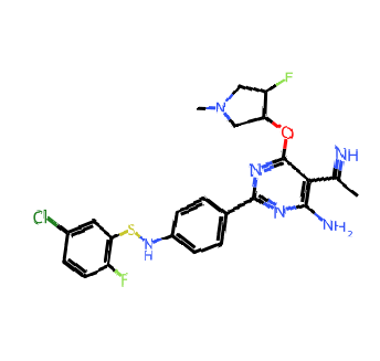 CC(=N)c1c(N)nc(-c2ccc(NSc3cc(Cl)ccc3F)cc2)nc1OC1CN(C)CC1F